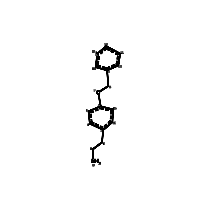 NCCc1ccc(OCc2cccnc2)cc1